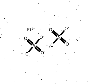 CS(=O)(=O)[O-].CS(=O)(=O)[O-].[Pt+2]